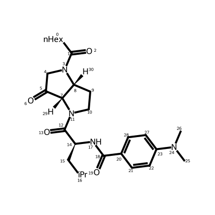 CCCCCCC(=O)N1CC(=O)[C@@H]2[C@H]1CCN2C(=O)[C@H](CC(C)C)NC(=O)c1ccc(N(C)C)cc1